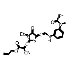 C=CCOC(=O)C(=C=c1sc(=C=CNc2cccc(N(C)C(=O)C(C)C)c2)c(=O)n1CC)C#N